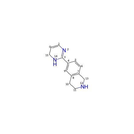 C1=CN=C(c2ccc3c(c2)CCNC3)NC1